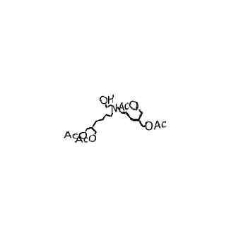 CC(=O)OCC(CCCCN(CCO)CCCCC(COC(C)=O)COC(C)=O)COC(C)=O